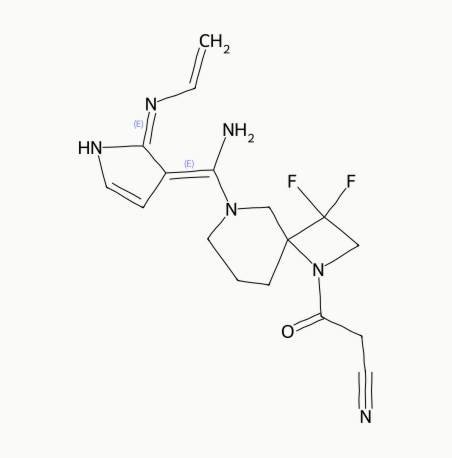 C=C/N=C1/NC=C/C1=C(/N)N1CCCC2(C1)N(C(=O)CC#N)CC2(F)F